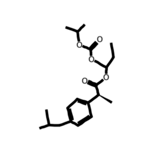 CCC(OC(=O)OC(C)C)OC(=O)[C@@H](C)c1ccc(CC(C)C)cc1